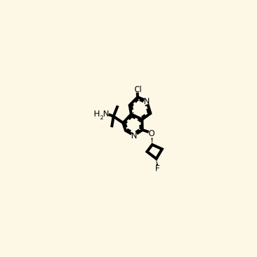 CC(C)(N)c1cnc(O[C@H]2C[C@@H](F)C2)c2cnc(Cl)cc12